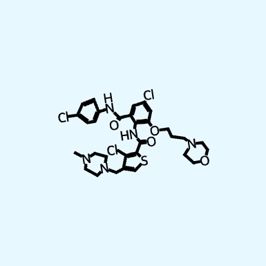 CN1CCN(Cc2csc(C(=O)Nc3c(OCCCN4CCOCC4)cc(Cl)cc3C(=O)Nc3ccc(Cl)cc3)c2Cl)CC1